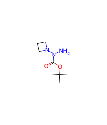 CC(C)(C)OC(=O)N(N)N1CCC1